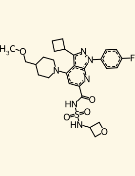 COCC1CCN(c2cc(C(=O)NS(=O)(=O)NC3COC3)nc3c2c(C2CCC2)nn3-c2ccc(F)cc2)CC1